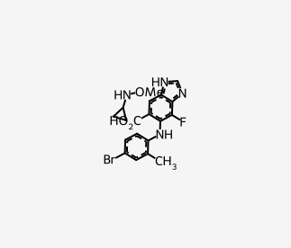 CONC1CC1.Cc1cc(Br)ccc1Nc1c(C(=O)O)cc2[nH]cnc2c1F